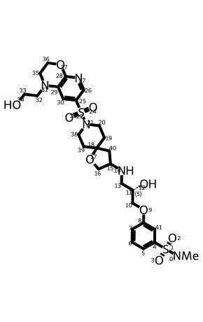 CNS(=O)(=O)c1cccc(OC[C@@H](O)CNC2COC3(CCN(S(=O)(=O)c4cnc5c(c4)N(CCO)CCO5)CC3)C2)c1